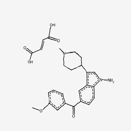 COc1cccc(C(=O)c2ccc3c(c2)c(C2CCN(C)CC2)cn3N)c1.O=C(O)C=CC(=O)O